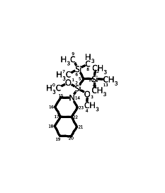 CO[Si](OC)(C([Si](C)(C)C)[Si](C)(C)C)N1CCC2CCCCC2C1